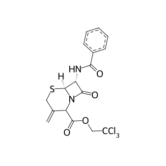 C=C1CS[C@H]2[C@H](NC(=O)c3ccccc3)C(=O)N2C1C(=O)OCC(Cl)(Cl)Cl